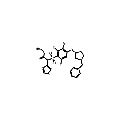 CC(C)(C)OC(=O)C(c1cscn1)S(=O)(=O)c1c(F)cc(O[C@H]2CCN(Cc3ccccc3)C2)c(Br)c1F